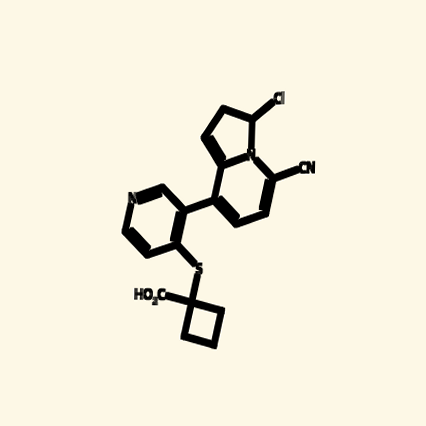 N#CC1=CC=C(c2cnccc2SC2(C(=O)O)CCC2)C2=CCC(Cl)N12